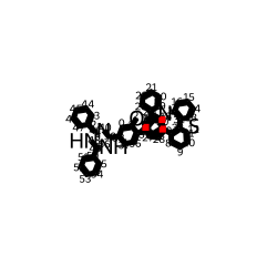 C1=c2oc3ccc(-c4cccc5sc6cccc(-n7c8ccccc8c8ccccc87)c6c45)cc3c2=CCC1C1N=C(c2ccccc2)NC(c2ccccc2)N1